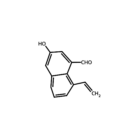 C=Cc1cccc2cc(O)cc(C=O)c12